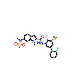 CN(c1ccc2cc(C(=O)Nc3cc(-c4ccccc4F)cc(Br)c3F)n(C)c2c1)S(C)(=O)=O